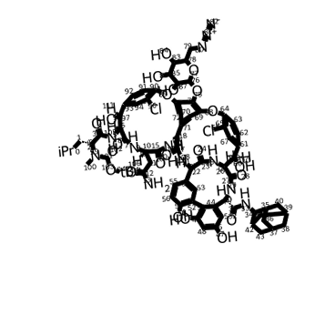 CC(C)C[C@H](C(=O)N[C@H]1C(=O)N[C@@H](CC(N)=O)C(=O)N[C@H]2C(=O)N[C@H]3C(=O)N[C@H](C(=O)N[C@H](C(=O)NC4C5CC6CC(C5)CC4C6)c4cc(O)cc(O)c4-c4cc3ccc4O)[C@H](O)c3ccc(c(Cl)c3)Oc3cc2cc(c3OC2OC(CN=[N+]=[N-])C(O)C(O)C2O)Oc2ccc(cc2Cl)[C@H]1O)N(C)C(=O)OC(C)(C)C